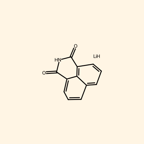 O=C1NC(=O)c2cccc3cccc1c23.[LiH]